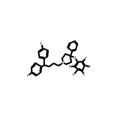 Fc1ccc(C(CCCN2CCC(Oc3c(F)c(F)c(F)c(F)c3F)(c3ccccc3)CC2)c2ccc(F)cc2)cc1